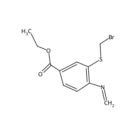 C=Nc1ccc(C(=O)OCC)cc1SCBr